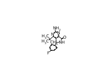 CC(C)(C)c1nc(N)nc2c1C(c1ccc(F)cc1)NC2=O